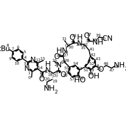 Cc1nc(-c2ccc(C(C)(C)C)cc2)nc(C)c1C(=O)N[C@@H](CCN)C(=O)N(C)[C@@H]1C(=O)N[C@@H](C)C(=O)N[C@H](C(=O)NCC#N)Cc2cc(OCCN)c(O)c(c2)-c2cc1ccc2O